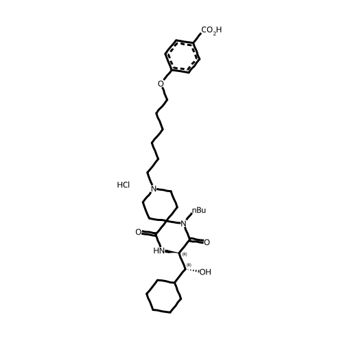 CCCCN1C(=O)[C@@H]([C@H](O)C2CCCCC2)NC(=O)C12CCN(CCCCCCOc1ccc(C(=O)O)cc1)CC2.Cl